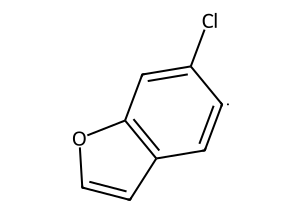 Clc1[c]cc2ccoc2c1